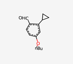 CCCCOc1ccc(C=O)c(C2CC2)c1